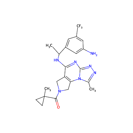 Cc1nnc2nc(NC(C)c3cc(N)cc(C(F)(F)F)c3)c3c(n12)CN(C(=O)C1(C)CC1)C3